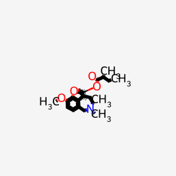 CCC(C)C(=O)O[C@@H]1CC2Oc3c(OC)ccc4c3[C@]2(CCN(C)C4)C1C